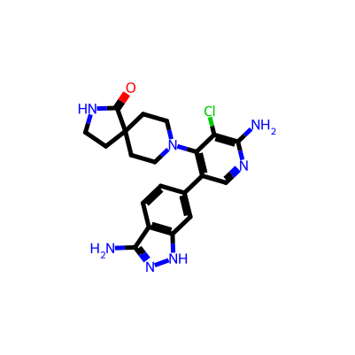 Nc1ncc(-c2ccc3c(N)n[nH]c3c2)c(N2CCC3(CCNC3=O)CC2)c1Cl